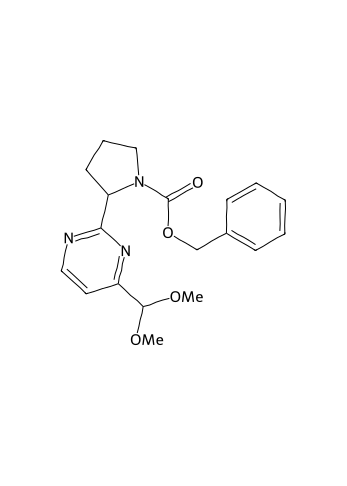 COC(OC)c1ccnc(C2CCCN2C(=O)OCc2ccccc2)n1